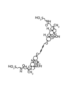 C[C@H](CCC(=O)NCCS(=O)(=O)O)[C@H]1CC[C@H]2C3[C@@H](O)CC4C[C@H](OCC#CC#CCO[C@@H]5CC[C@@]6(C)C(C5)C[C@H](O)C5[C@@H]7CC[C@H]([C@H](C)CCC(=O)NCCS(=O)(=O)O)[C@@]7(C)CC[C@@H]56)CC[C@]4(C)[C@H]3CC[C@]12C